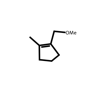 COCC1=C(C)CCC1